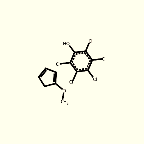 Oc1c(Cl)c(Cl)c(Cl)c(Cl)c1Cl.[CH3][Ti][C]1=CC=CC1